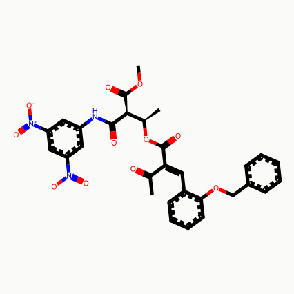 COC(=O)[C@H](C(=O)Nc1cc([N+](=O)[O-])cc([N+](=O)[O-])c1)[C@@H](C)OC(=O)C(=Cc1ccccc1OCc1ccccc1)C(C)=O